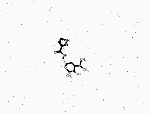 C[C@@H]1O[C@H](CNC(=O)c2cc[nH]n2)CC(N(C)C)C1O